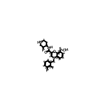 Cl.O=C(NC1CCNCC1F)C1=CN(Cc2cccc(F)c2F)c2cccc(F)c2O1